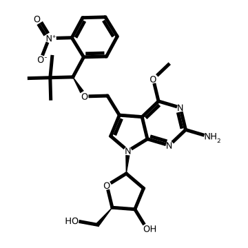 COc1nc(N)nc2c1c(CO[C@H](c1ccccc1[N+](=O)[O-])C(C)(C)C)cn2[C@H]1CC(O)[C@@H](CO)O1